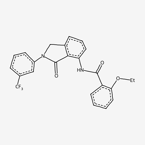 CCOc1ccccc1C(=O)Nc1cccc2c1C(=O)N(c1cccc(C(F)(F)F)c1)C2